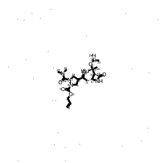 C=CCOC(=O)N1CC(C(=O)C[C@H]2NC(=O)[C@@H]2[C@@](C)(O[SiH](C)C)C(C)(C)C)CN1C(=O)N(C)C